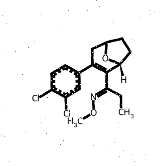 CCC(=NOC)C1=C(c2ccc(Cl)c(Cl)c2)CC2CC[C@H]1O2